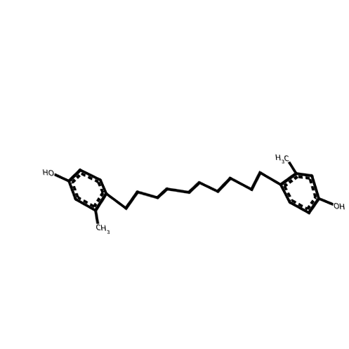 Cc1cc(O)ccc1CCCCCCCCCCc1ccc(O)cc1C